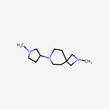 CN1CCC(N2CCC3(CC2)CN(C)C3)C1